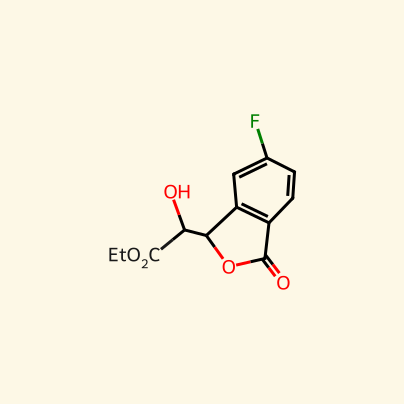 CCOC(=O)C(O)C1OC(=O)c2ccc(F)cc21